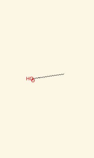 CCCCCCCCCCCCCCCCCCCCCC=CCCCCC(=O)O